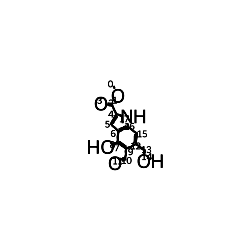 COC(=O)c1cc2c(O)c(C=O)c(CO)cc2[nH]1